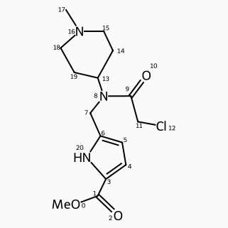 COC(=O)c1ccc(CN(C(=O)CCl)C2CCN(C)CC2)[nH]1